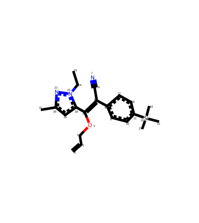 C=CCOC(=C(C#N)c1ccc([Si](C)(C)C)cc1)c1cc(C)nn1CC